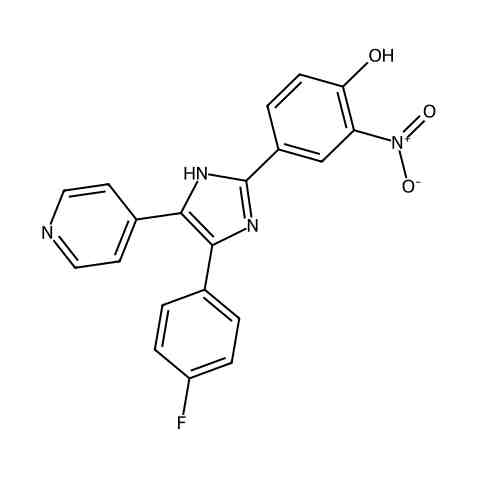 O=[N+]([O-])c1cc(-c2nc(-c3ccc(F)cc3)c(-c3ccncc3)[nH]2)ccc1O